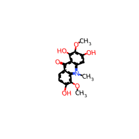 COc1c(O)cc2c(c1O)c(=O)c1ccc(O)c(OC)c1n2C